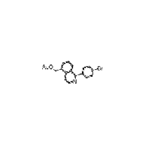 CC(=O)OCc1cccc2c(-c3ccc(Br)cc3)nccc12